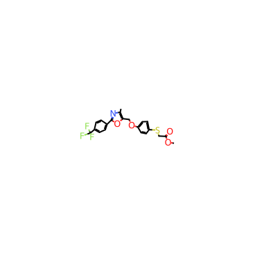 COC(=O)CSc1ccc(OCc2oc(-c3ccc(C(F)(F)F)cc3)nc2C)cc1